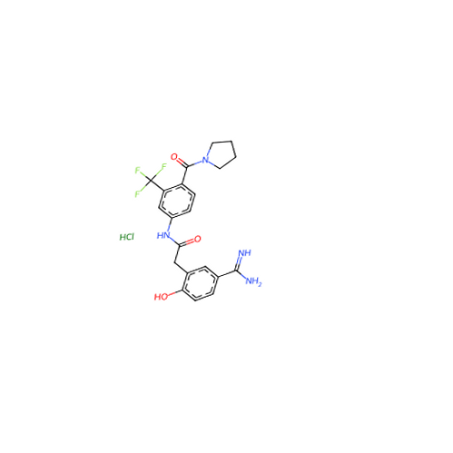 Cl.N=C(N)c1ccc(O)c(CC(=O)Nc2ccc(C(=O)N3CCCC3)c(C(F)(F)F)c2)c1